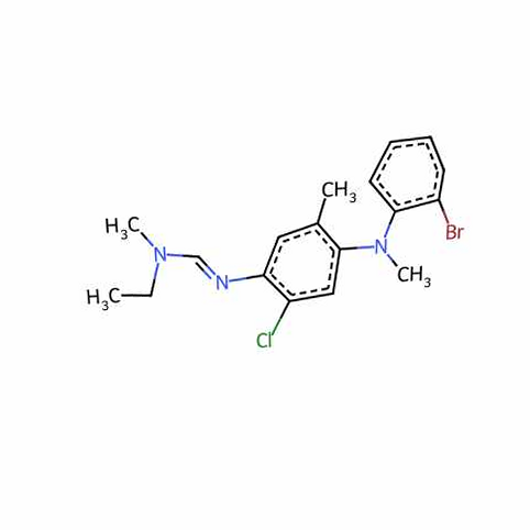 CCN(C)C=Nc1cc(C)c(N(C)c2ccccc2Br)cc1Cl